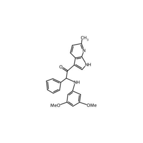 COc1cc(NC(C(=O)c2c[nH]c3nc(C)ccc23)c2ccccc2)cc(OC)c1